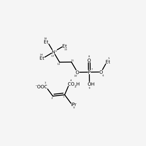 CC(C)/C(=C/C(=O)[O-])C(=O)O.CCOP(=O)(O)OCC[N+](CC)(CC)CC